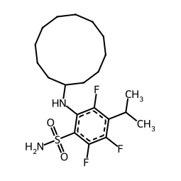 CC(C)c1c(F)c(F)c(S(N)(=O)=O)c(NC2CCCCCCCCCCC2)c1F